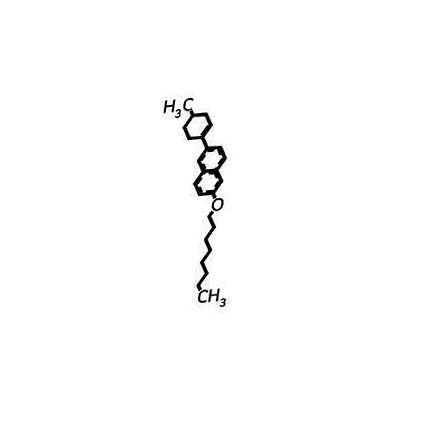 CCCCCCCCOc1ccc2cc(C3=CCC(C)CC3)ccc2c1